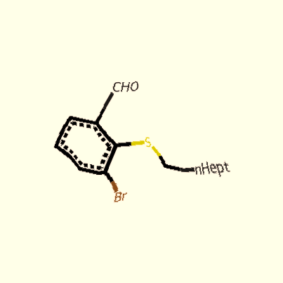 CCCCCCCCSc1c(Br)cccc1C=O